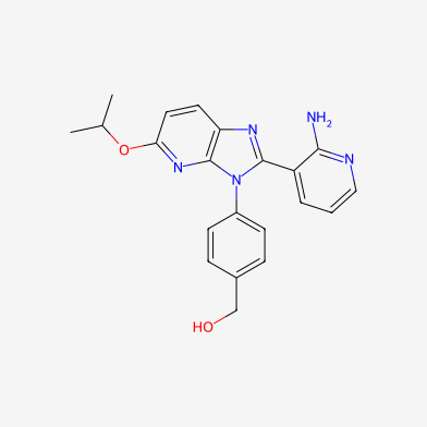 CC(C)Oc1ccc2nc(-c3cccnc3N)n(-c3ccc(CO)cc3)c2n1